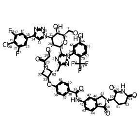 Cc1nc([C@@H]2O[C@H](CO)[C@H](O)[C@H](n3cc(-c4cc(F)c(Cl)c(F)c4)nn3)[C@H]2OCC(=O)N2CC(Oc3ccc(C(=O)Nc4ccc5c(c4)CN(C4CCC(=O)NC4=O)C5=O)cc3)C2)n(-c2cc(Cl)ccc2C(F)(F)F)n1